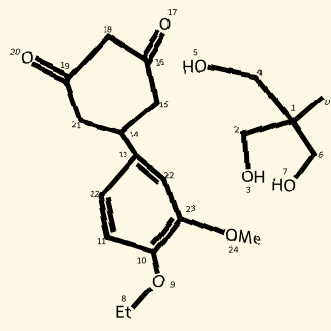 CC(CO)(CO)CO.CCOc1ccc(C2CC(=O)CC(=O)C2)cc1OC